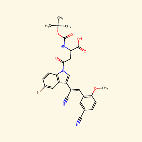 COc1ccc(C#N)cc1C=C(C#N)c1cn(C(=O)CC(NC(=O)OC(C)(C)C)C(=O)O)c2ccc(Br)cc12